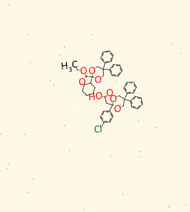 CCOC(=O)C1(C2CCCCC2)OCC(c2ccccc2)(c2ccccc2)CO1.O=C(O)CC1(c2ccc(Cl)cc2)OCC(c2ccccc2)(c2ccccc2)CO1